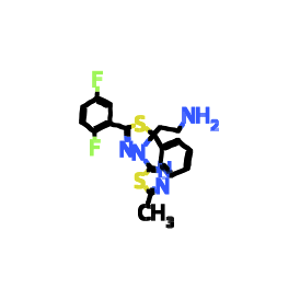 Cc1nnc(N2N=C(c3cc(F)ccc3F)SC2(CCN)c2ccccc2)s1